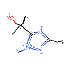 Cc1nc(C(C)(C)O)n(C)n1